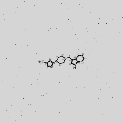 Cc1csc(N2CCN(Cc3c[nH]c4ccccc34)CC2)c1